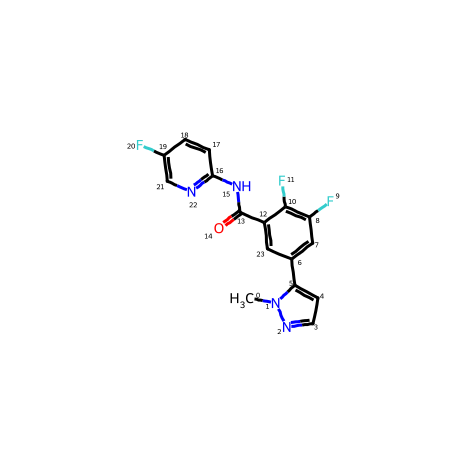 Cn1nccc1-c1cc(F)c(F)c(C(=O)Nc2ccc(F)cn2)c1